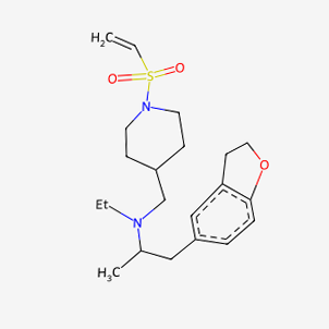 C=CS(=O)(=O)N1CCC(CN(CC)C(C)Cc2ccc3c(c2)CCO3)CC1